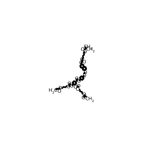 C=CC(=O)OCCCCOC(=O)Oc1ccc(C(=O)Oc2ccc(OCOc3ccc4cc(OC(=O)OCCCCOC(=O)C(=C)C)ccc4c3)cc2)cc1OC(=O)OCCCCOC(=O)C=C